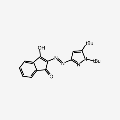 CC(C)(C)c1cc(N=NC2=C(O)c3ccccc3C2=O)nn1C(C)(C)C